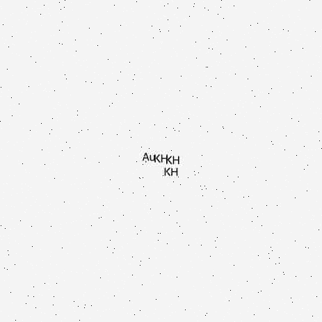 [Au].[KH].[KH].[KH]